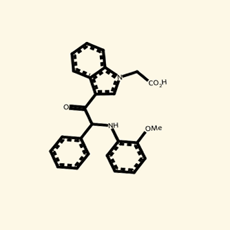 COc1ccccc1NC(C(=O)c1cn(CC(=O)O)c2ccccc12)c1ccccc1